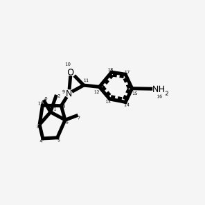 CC1(C)C2CCC1(C)C(N1OC1c1ccc(N)cc1)C2